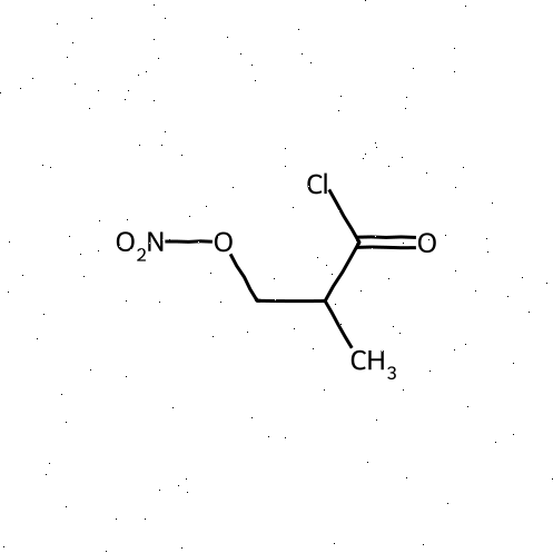 CC(CO[N+](=O)[O-])C(=O)Cl